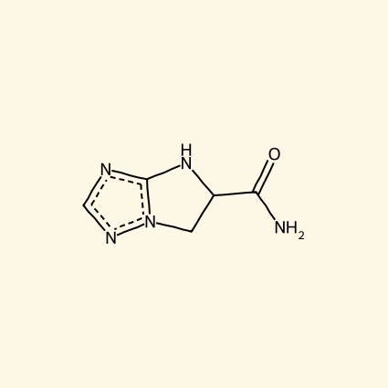 NC(=O)C1Cn2ncnc2N1